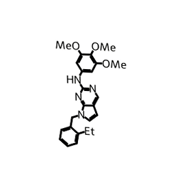 CCc1ccccc1Cn1ccc2cnc(Nc3cc(OC)c(OC)c(OC)c3)nc21